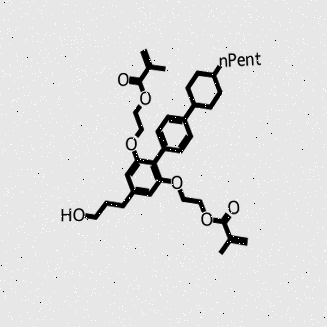 C=C(C)C(=O)OCCOc1cc(CCCO)cc(OCCOC(=O)C(=C)C)c1-c1ccc(C2CCC(CCCCC)CC2)cc1